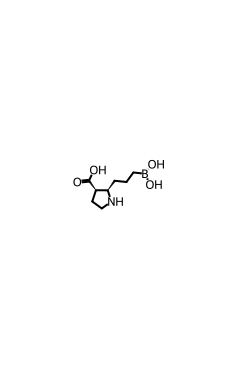 O=C(O)[C@@H]1CCN[C@@H]1CCCB(O)O